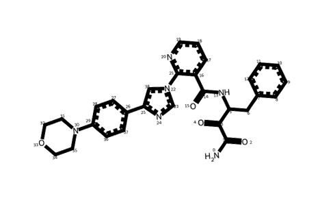 NC(=O)C(=O)C(Cc1ccccc1)NC(=O)c1cccnc1-n1cnc(-c2ccc(N3CCOCC3)cc2)c1